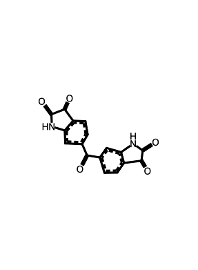 O=C1Nc2cc(C(=O)c3ccc4c(c3)NC(=O)C4=O)ccc2C1=O